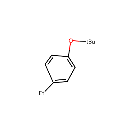 CCc1ccc(OC(C)(C)C)cc1